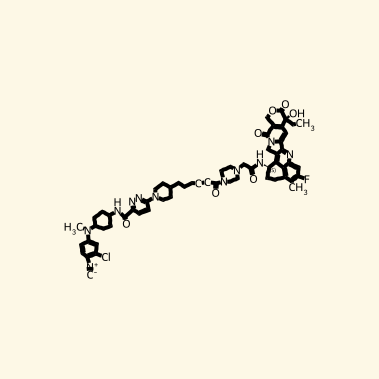 [C-]#[N+]c1ccc(N(C)C2CCC(NC(=O)c3ccc(N4CCC(CCCCCC(=O)N5CCN(CC(=O)N[C@H]6CCc7c(C)c(F)cc8nc9c(c6c78)Cn6c-9cc7c(c6=O)COC(=O)[C@]7(O)CC)CC5)CC4)nn3)CC2)cc1Cl